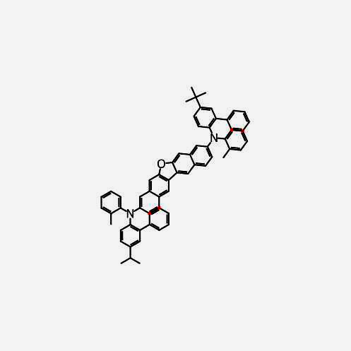 Cc1ccccc1N(c1ccc2cc3c(cc2c1)oc1cc2cc(N(c4ccccc4C)c4ccc(C(C)(C)C)cc4-c4ccccc4)ccc2cc13)c1ccc(C(C)C)cc1-c1ccccc1